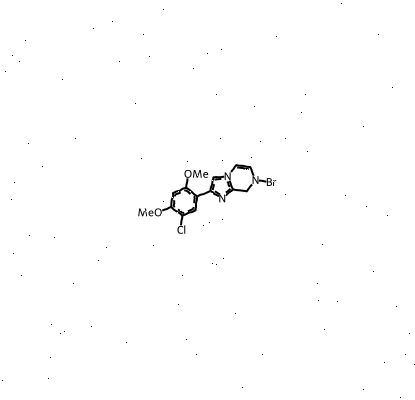 COc1cc(OC)c(-c2cn3c(n2)CN(Br)C=C3)cc1Cl